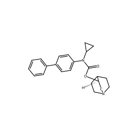 O=C(O[C@@H]1CN2CCC1CC2)N(c1ccc(-c2ccccc2)cc1)C1CC1